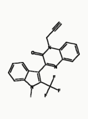 C#CCn1c(=O)c(-c2c(C(F)(F)F)n(C)c3ccccc23)nc2ccccc21